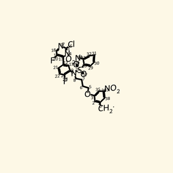 [CH2]c1cc(OCCCCN(c2cc(-c3nc(Cl)ncc3F)ccc2F)S(=O)(=O)c2ccccc2[N+](=O)[O-])cc([N+](=O)[O-])c1